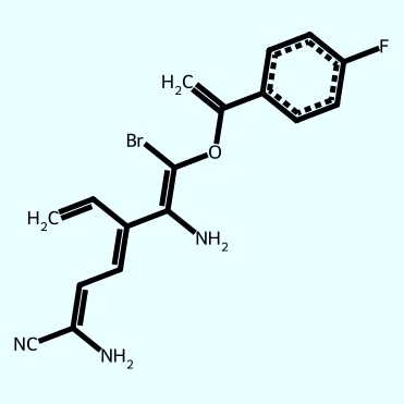 C=CC(=C\C=C(/N)C#N)/C(N)=C(\Br)OC(=C)c1ccc(F)cc1